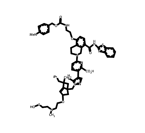 CNc1ccc(COC(=O)NCCOc2ccc(C(=O)Nc3nc4ccccc4s3)c3c2CCN(c2ccc(-c4cnn(CC56CC(OCCN(C)CCSO)C=C5C(C)(CC(C)C)C6)c4C)c(C(=O)O)n2)C3)cc1